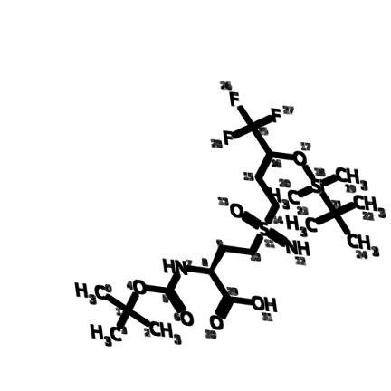 CC(C)(C)OC(=O)N[C@@H](CCS(=N)(=O)CCC(O[Si](C)(C)C(C)(C)C)C(F)(F)F)C(=O)O